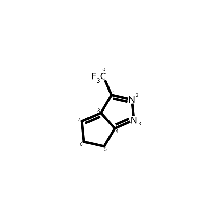 FC(F)(F)C1=NN=C2CCC=C21